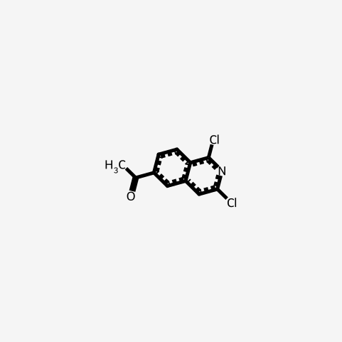 CC(=O)c1ccc2c(Cl)nc(Cl)cc2c1